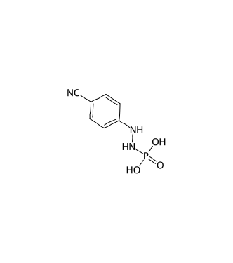 N#Cc1ccc(NNP(=O)(O)O)cc1